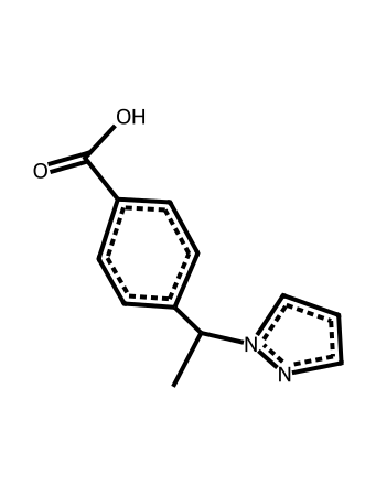 CC(c1ccc(C(=O)O)cc1)n1cccn1